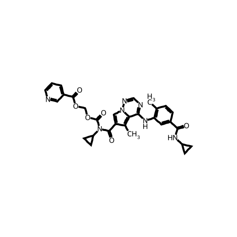 Cc1ccc(C(=O)NC2CC2)cc1Nc1ncnn2cc(C(=O)N(C(=O)OCOC(=O)c3cccnc3)C3CC3)c(C)c12